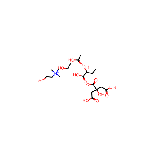 CC(=O)O.CCC(O)C(=O)O.CCO.C[N+](C)(C)CCO.O=C(O)CC(O)(CC(=O)O)C(=O)[O-]